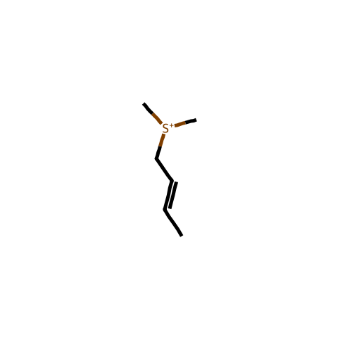 CC=CC[S+](C)C